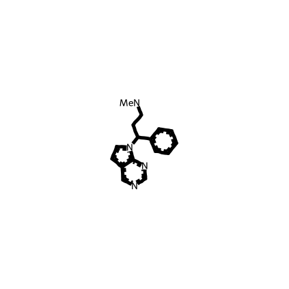 CNCCC(c1ccccc1)n1ccc2cncnc21